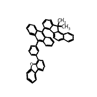 CC1(C)c2cccc(-c3c4ccccc4c(-c4cccc(-c5cccc6c5oc5ccccc56)c4)c4ccccc34)c2-c2ccc3ccccc3c21